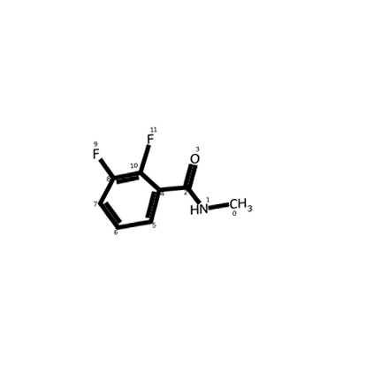 CNC(=O)c1cccc(F)c1F